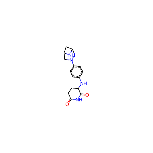 O=C1CCC(Nc2ccc(N3CC4CC(C3)N4)cc2)C(=O)N1